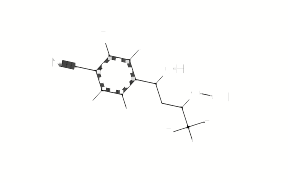 COC(CC(O)c1c(F)c(F)c(C#N)c(F)c1F)C(F)(F)F